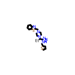 CCC(c1nnnn1Cc1cccs1)N1CCN(Cc2nc3ccccc3s2)CC1